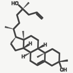 C=CC[C@](C)(O)CC[C@@H](C)[C@H]1CC[C@H]2[C@@H]3CC=C4C[C@@](C)(O)CC[C@]4(C)[C@H]3CC[C@]12C